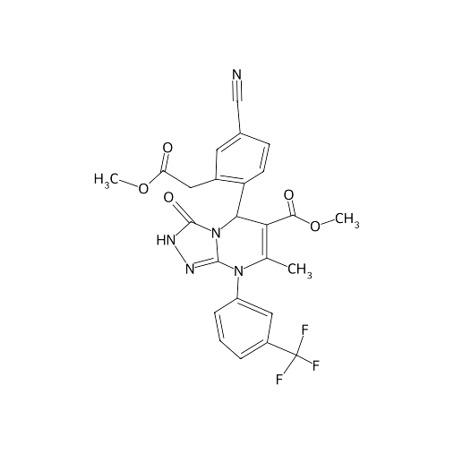 COC(=O)Cc1cc(C#N)ccc1C1C(C(=O)OC)=C(C)N(c2cccc(C(F)(F)F)c2)c2n[nH]c(=O)n21